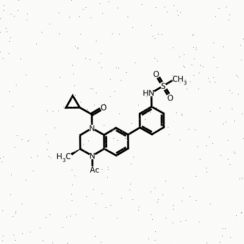 CC(=O)N1c2ccc(-c3cccc(NS(C)(=O)=O)c3)cc2N(C(=O)C2CC2)C[C@@H]1C